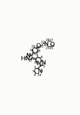 c1ccc(-c2cnc3ccc(-c4c[nH]nc4-c4ccc(OCCN5CCOCC5)cc4)cn23)nc1